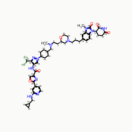 CN(CC[C@@H]1CN(CCCc2ccc3c(c2)n(C)c(=O)n3C2CCC(=O)NC2=O)CCO1)CC1CCC(n2cc(NC(=O)c3coc(-c4ccnc(NCC5CC5)c4)n3)c(C(F)F)n2)CC1